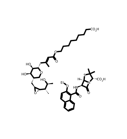 C/C(=C\C(=O)OCCCCCCCCC(=O)O)C[C@@H]1OC[C@H](C[C@@H]2O[C@H]2[C@@H](C)[C@H](C)O)[C@@H](O)[C@H]1O.CCOc1ccc2ccccc2c1C(=O)N[C@@H]1C(=O)N2[C@@H]1SC(C)(C)[C@@H]2C(=O)O